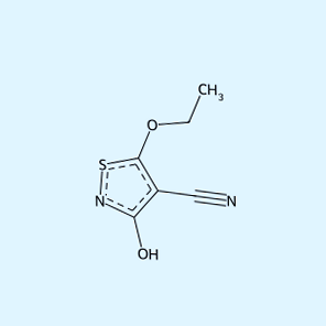 CCOc1snc(O)c1C#N